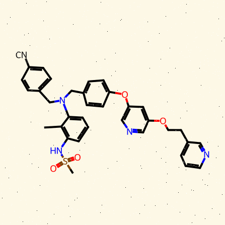 [C-]#[N+]c1ccc(CN(Cc2ccc(Oc3cncc(OCCc4cccnc4)c3)cc2)c2cccc(NS(C)(=O)=O)c2C)cc1